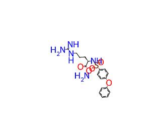 N=C(N)NCCC[C@@H](NS(=O)(=O)c1ccc(Oc2ccccc2)cc1)C(=O)ON